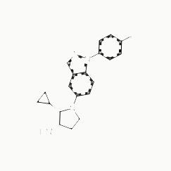 N[C@H]1CCN(c2ccc3c(cnn3-c3ccc(F)cc3)c2)[C@@H]1C1CC1